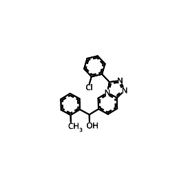 Cc1ccccc1C(O)c1ccc2nnc(-c3ccccc3Cl)n2c1